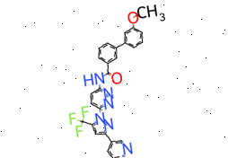 COc1cccc(-c2cccc(C(=O)Nc3ccc(-n4nc(-c5cccnc5)cc4C(F)(F)F)nn3)c2)c1